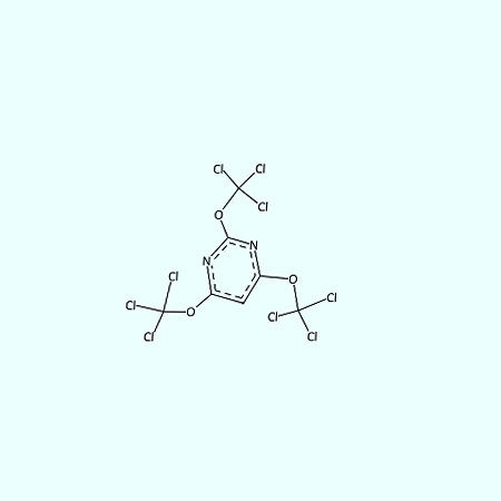 ClC(Cl)(Cl)Oc1cc(OC(Cl)(Cl)Cl)nc(OC(Cl)(Cl)Cl)n1